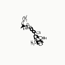 CCO[C@H]1C[C@@H]1C(=O)Nc1cc2cc(C3CCN([C@]4(C)COC[C@@H]4O)CC3)c(Cl)cc2cn1